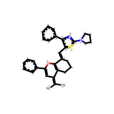 N#CC(C#N)=C1C=C(c2ccccc2)OC2=C1CCC/C2=C\c1sc(N2CCCC2)nc1-c1ccccc1